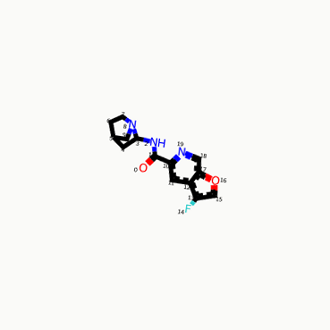 O=C(NC1CC2CCN1C2)c1cc2c(F)coc2cn1